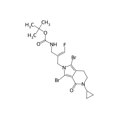 CC(C)(C)OC(=O)NCC(=CF)Cn1c(Br)c2c(c1Br)C(=O)N(C1CC1)CC2